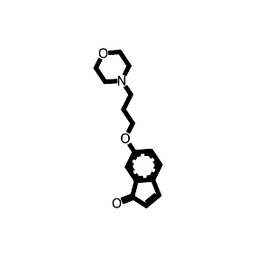 O=C1C=Cc2ccc(OCCCN3CCOCC3)cc21